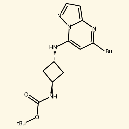 CCC(C)c1cc(N[C@H]2C[C@H](NC(=O)OC(C)(C)C)C2)n2nccc2n1